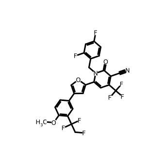 COc1ccc(-c2coc(-c3cc(C(F)(F)F)c(C#N)c(=O)n3Cc3ccc(F)cc3F)c2)cc1C(F)(F)CF